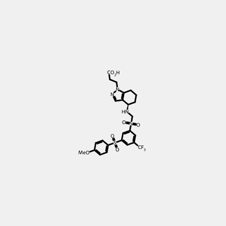 COc1ccc(S(=O)(=O)c2cc(C(F)(F)F)cc(S(=O)(=O)CN[C@@H]3CCCc4c3cnn4CCC(=O)O)c2)cc1